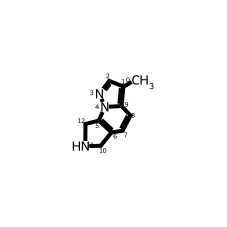 Cc1cnn2c3c(ccc12)CNC3